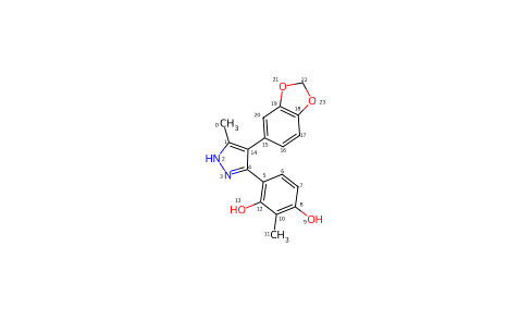 Cc1[nH]nc(-c2ccc(O)c(C)c2O)c1-c1ccc2c(c1)OCO2